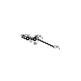 CCCCCCCCCCCCCCOc1ccc(C(=O)Nc2ccc(C[n+]3cscc3C)cc2)cc1OC.[Br-]